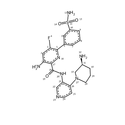 Nc1cc(F)c(-c2cccc(S(N)(=O)=O)c2)nc1C(=O)Nc1cnccc1N1CCC[C@H](N)C1